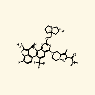 Cc1c(C(=O)N(C)C)nn2c1CN(c1nc(OC[C@@]34CCCN3C[C@H](F)C4)nc3c(F)c(-c4ccc(F)c5sc(N)c(C#N)c45)c(C(F)(F)F)cc13)CC2